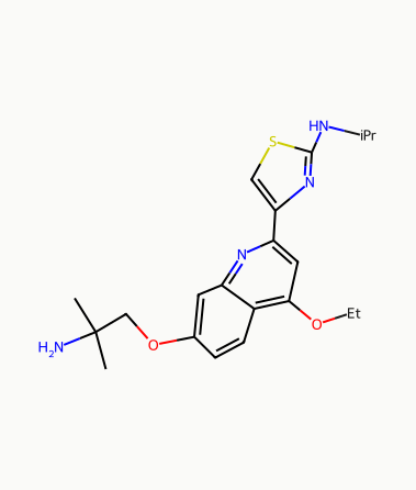 CCOc1cc(-c2csc(NC(C)C)n2)nc2cc(OCC(C)(C)N)ccc12